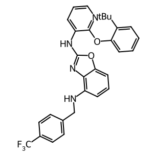 CC(C)(C)c1ccccc1Oc1ncccc1Nc1nc2c(NCc3ccc(C(F)(F)F)cc3)cccc2o1